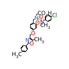 Cc1ccc(-c2nc(COc3ccc(CN(CC(=O)O)S(=O)(=O)N(C)c4ccc(Cl)cc4)cc3)c(C)o2)cc1